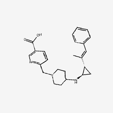 C/C(=C\c1ccccc1)[C@@H]1C[C@H]1NC1CCN(Cc2ccc(C(=O)O)cn2)CC1